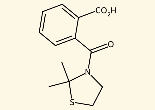 CC1(C)SCCN1C(=O)c1ccccc1C(=O)O